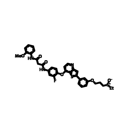 CC[S+]([O-])CCCOc1cccc(-c2cc3nccc(Oc4ccc(NC(=O)CC(=O)Nc5ccccc5OC)cc4F)c3s2)c1